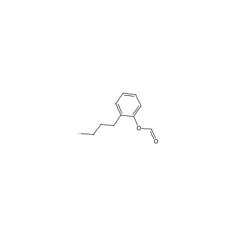 [CH2]CCCc1ccccc1OC=O